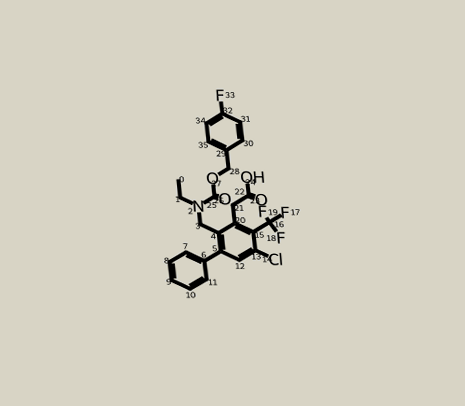 CCN(Cc1c(-c2ccccc2)cc(Cl)c(C(F)(F)F)c1CC(=O)O)C(=O)OCc1ccc(F)cc1